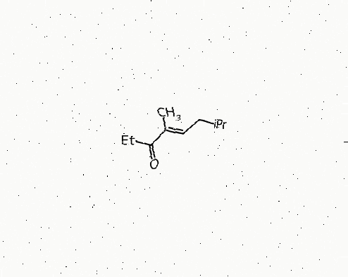 CCC(=O)/C(C)=C/CC(C)C